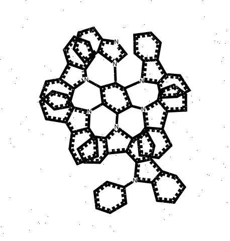 c1ccc(-n2c3ccccc3c3ccc4c(c5ccccc5n4-c4c(-n5c6ccccc6c6ccccc65)c(-n5c6ccccc6c6ccccc65)c(-n5cnc6ccccc65)c(-n5c6ccccc6c6ccccc65)c4-n4c5ccccc5c5ccccc54)c32)cc1